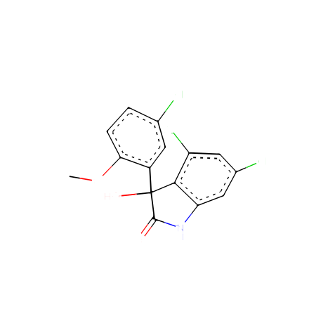 COc1ccc(Cl)cc1C1(O)C(=O)Nc2cc(Cl)cc(Cl)c21